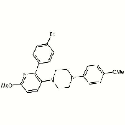 CCc1ccc(-c2nc(OC)ccc2N2CCN(c3ccc(OC)cc3)CC2)cc1